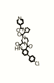 O=C1Nc2ccc(-c3ccc(Cl)cc3)cc2C(=O)N2CCN(C(=O)C3CCCN3C(=O)c3ccncc3)CC12